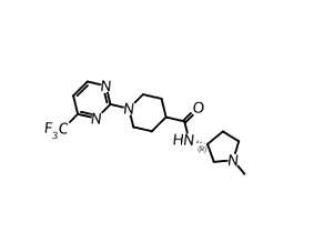 CN1CC[C@@H](NC(=O)C2CCN(c3nccc(C(F)(F)F)n3)CC2)C1